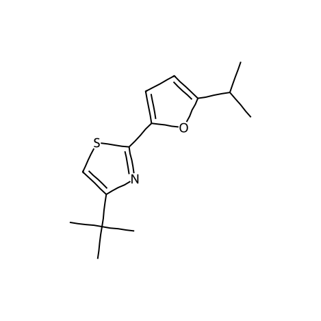 CC(C)c1ccc(-c2nc(C(C)(C)C)cs2)o1